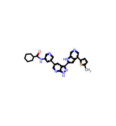 Cc1ccc(-c2cncc3[nH]c(-c4n[nH]c5ncc(-c6cncc(NC(=O)C7CCCCC7)c6)cc45)cc23)s1